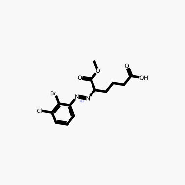 COC(=O)C(CCCC(=O)O)/N=N/c1cccc(Cl)c1Br